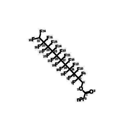 CCCC(=O)OCC(F)(F)C(F)(F)C(F)(F)C(F)(F)C(F)(F)C(F)(F)C(F)(F)C(F)(F)C(F)(F)C(F)F